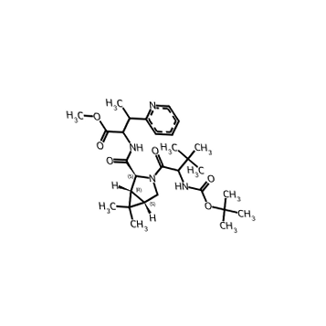 COC(=O)C(NC(=O)[C@@H]1[C@@H]2[C@H](CN1C(=O)C(NC(=O)OC(C)(C)C)C(C)(C)C)C2(C)C)C(C)c1ccccn1